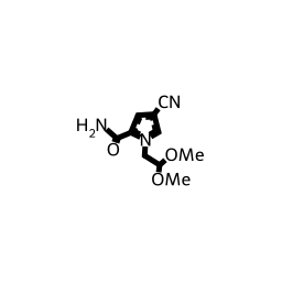 COC(Cn1cc(C#N)cc1C(N)=O)OC